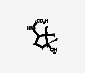 CC1(C)C(NC(=O)O)CC[C@]1(C)O